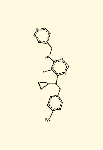 Fc1c(NCc2ccncc2)ncnc1N(Cc1ccc(C(F)(F)F)cc1)C1CC1